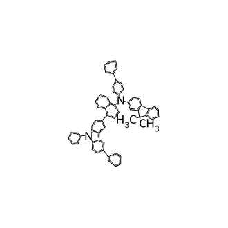 CC1(C)c2ccccc2-c2ccc(N(c3ccc(-c4ccccc4)cc3)c3ccc(-c4ccc5c(c4)c4cc(-c6ccccc6)ccc4n5-c4ccccc4)c4ccccc34)cc21